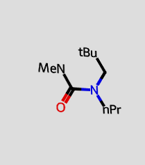 CCCN(CC(C)(C)C)C(=O)NC